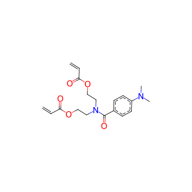 C=CC(=O)OCCN(CCOC(=O)C=C)C(=O)c1ccc(N(C)C)cc1